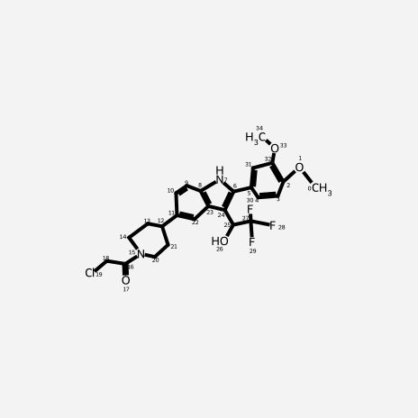 COc1ccc(-c2[nH]c3ccc(C4CCN(C(=O)CCl)CC4)cc3c2C(O)C(F)(F)F)cc1OC